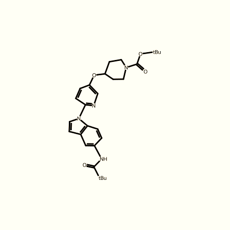 CC(C)(C)OC(=O)N1CCC(Oc2ccc(-n3ccc4cc(NC(=O)C(C)(C)C)ccc43)nc2)CC1